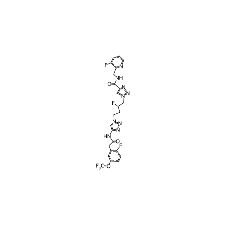 O=C(Cc1cc(OC(F)(F)F)ccc1F)Nc1cn(CCC(F)Cn2cc(C(=O)NCc3ncccc3F)nn2)nn1